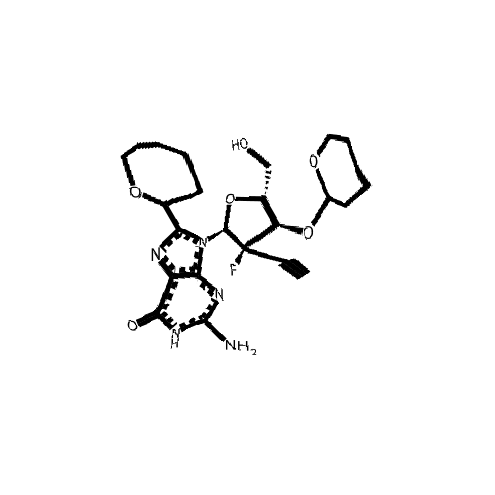 C#C[C@@]1(F)[C@H](OC2CCCCO2)[C@@H](CO)O[C@@H]1n1c(C2CCCCO2)nc2c(=O)[nH]c(N)nc21